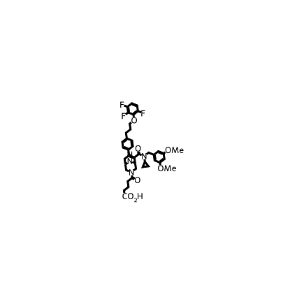 COc1cc(CN(C(=O)C2=C(c3ccc(CCCOc4c(F)ccc(F)c4F)cc3)CC3CN(C(=O)CCCC(=O)O)CC2N3)C2CC2)cc(OC)c1